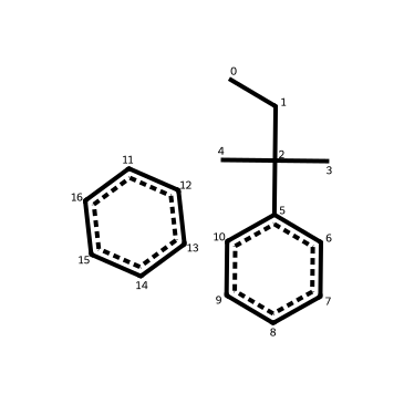 CCC(C)(C)c1ccccc1.c1ccccc1